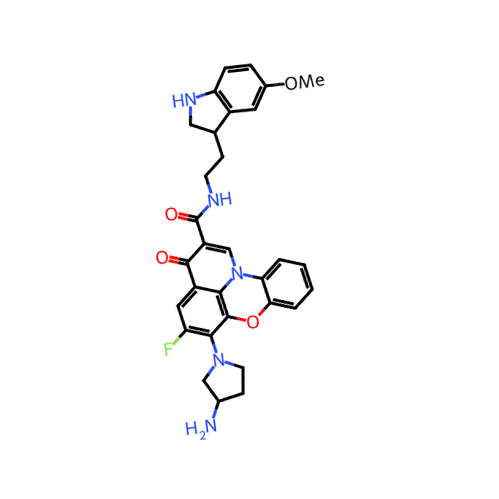 COc1ccc2c(c1)C(CCNC(=O)c1cn3c4c(c(N5CCC(N)C5)c(F)cc4c1=O)Oc1ccccc1-3)CN2